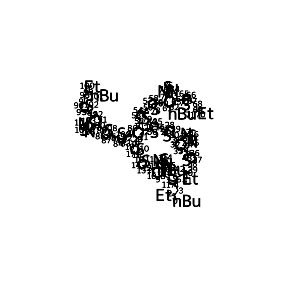 CCCCC(CC)Cc1csc(-c2ccc(-c3ccc(-c4ccc(-c5cc(-c6ccc(-c7ccc(-c8ccc(-c9ccc(CC(CC)CCCC)s9)c9nsnc89)s7)s6)c(-c6ccc(-c7ccc(-c8ccc(-c9ccc(CC(CC)CCCC)s9)c9nsnc89)s7)s6)cc5-c5ccc(-c6ccc(-c7ccc(-c8ccc(CC(CC)CCCC)s8)c8nsnc78)s6)s5)s4)s3)c3nsnc23)c1